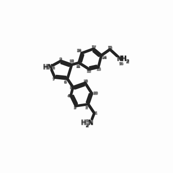 NCc1ccc(-c2c[nH]cc2-c2ccc(CN)cc2)cc1